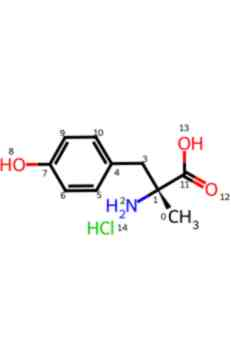 C[C@@](N)(Cc1ccc(O)cc1)C(=O)O.Cl